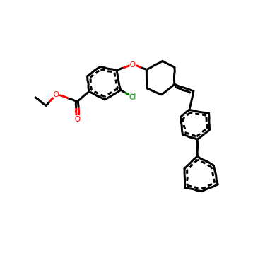 CCOC(=O)c1ccc(OC2CCC(=Cc3ccc(-c4ccccc4)cc3)CC2)c(Cl)c1